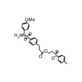 COc1ccc(N(N)S(=O)(=O)c2ccc(CCC(=O)OCCS(=O)(=O)c3ccc(C)cc3)cc2)cc1